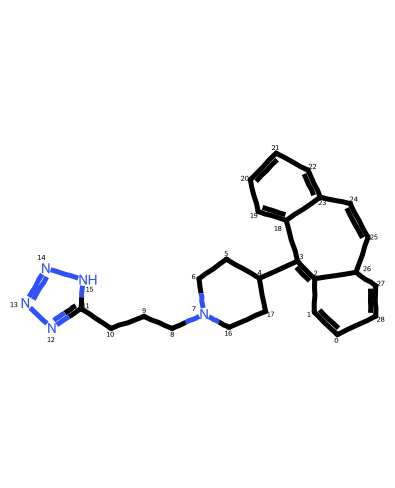 C1=CC2=C(C3CCN(CCCc4nnn[nH]4)CC3)c3ccccc3C=CC2C=C1